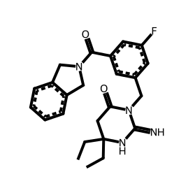 CCC1(CC)CC(=O)N(Cc2cc(F)cc(C(=O)N3Cc4ccccc4C3)c2)C(=N)N1